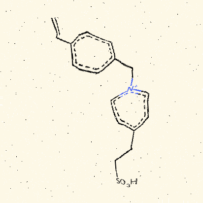 C=Cc1ccc(C[n+]2ccc(CCS(=O)(=O)O)cc2)cc1